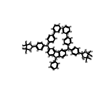 CC1(C)OB(c2ccc(N(c3ccc(-c4ccccc4)cc3)c3ccc4c(c3)c3cc(N(c5ccc(B6OC(C)(C)C(C)(C)O6)cc5)c5ccc(-c6ccccc6)cc5)ccc3n4-c3ccccc3)cc2)OC1(C)C